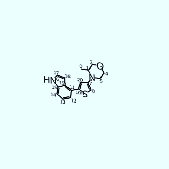 CC1COCCN1c1csc(-c2cccc3[nH]ccc23)c1